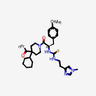 CCCC(=O)C1(C2CCCCC2)CCN(C(=O)[C@@H](Cc2ccc(OC)cc2)NC(=S)NCCc2cn(C)cn2)CC1